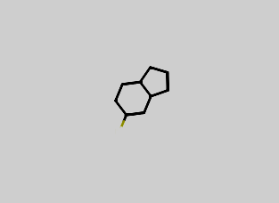 SC1CCC2CCCC2C1